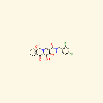 CO[C@@]12CCCC[C@]1(C)C(=O)c1c(O)c(=O)c(C(=O)NCc3ccc(F)cc3F)cn1C2